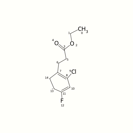 CCOC(=O)CCC1=C(Cl)C=C(F)[CH]C1